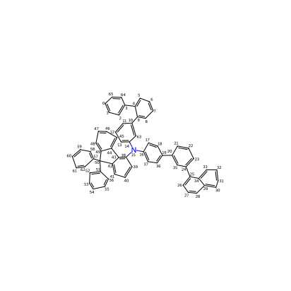 c1ccc(-c2ccccc2-c2cccc(N(c3ccc(-c4cccc(-c5cccc6ccccc56)c4)cc3)c3cccc4c3-c3ccccc3C4(c3ccccc3)c3ccccc3)c2)cc1